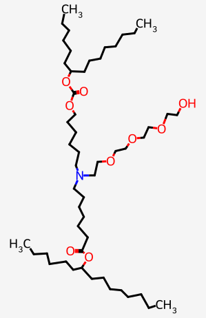 CCCCCCCCC(CCCCCC)OC(=O)CCCCCCN(CCCCCCOC(=O)OC(CCCCCC)CCCCCCCC)CCOCCOCCOCCO